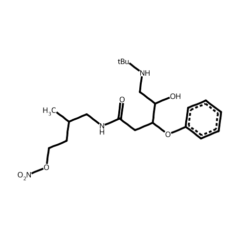 CC(CCO[N+](=O)[O-])CNC(=O)CC(Oc1ccccc1)C(O)CNC(C)(C)C